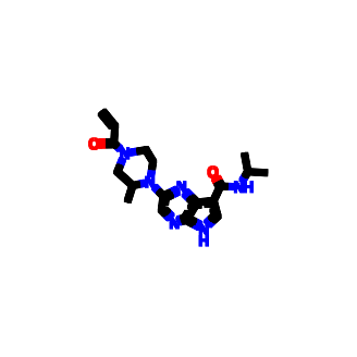 C=CC(=O)N1CCN(c2cnc3[nH]cc(C(=O)NC(C)C)c3n2)C(C)C1